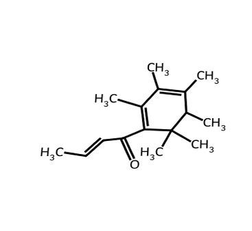 CC=CC(=O)C1=C(C)C(C)=C(C)C(C)C1(C)C